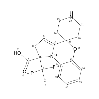 O=C(O)C1(C(F)(F)F)CC=C2N1c1ccccc1OC21CCNCC1